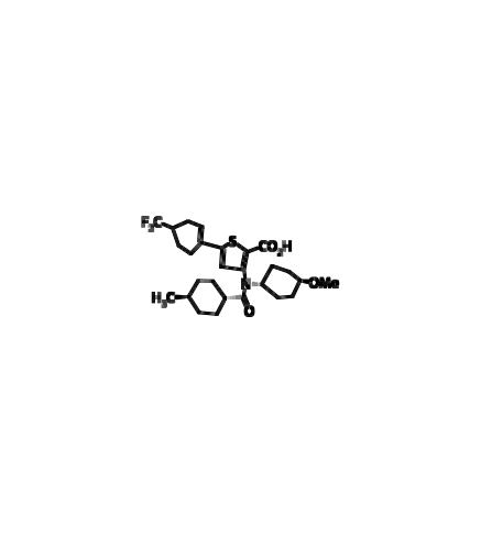 CO[C@H]1CC[C@H](N(c2cc(C3=CCC(C(F)(F)F)CC3)sc2C(=O)O)C(=O)[C@H]2CC[C@H](C)CC2)CC1